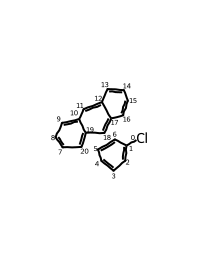 Clc1ccccc1.c1ccc2cc3ccccc3cc2c1